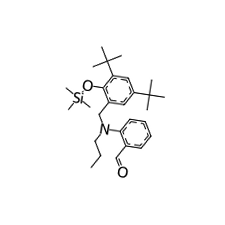 CCCN(Cc1cc(C(C)(C)C)cc(C(C)(C)C)c1O[Si](C)(C)C)c1ccccc1C=O